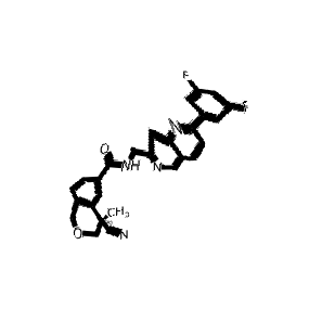 C[C@@]1(C#N)COCc2ccc(C(=O)NCc3cc4nc(-c5cc(F)cc(F)c5)ccc4cn3)cc21